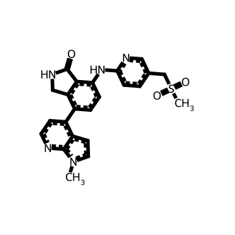 Cn1ccc2c(-c3ccc(Nc4ccc(CS(C)(=O)=O)cn4)c4c3CNC4=O)ccnc21